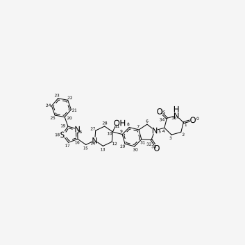 O=C1CCC(N2Cc3cc(C4(O)CCN(Cc5csc(-c6ccccc6)n5)CC4)ccc3C2=O)C(=O)N1